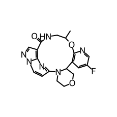 CC1CNC(=O)c2cnn3ccc(nc23)N2CCOCC2c2cc(F)cnc2O1